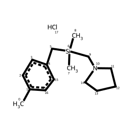 Cc1ccc(C[Si](C)(C)CN2CCCC2)cc1.Cl